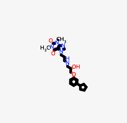 Cn1c(=O)c2c(ncn2CCCNCC(O)COc2cccc(C3CCCC3)c2)n(C)c1=O